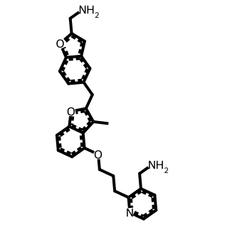 Cc1c(Cc2ccc3oc(CN)cc3c2)oc2cccc(OCCCc3ncccc3CN)c12